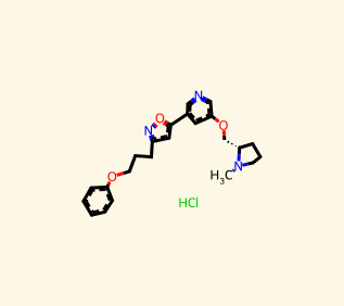 CN1CCC[C@H]1COc1cncc(-c2cc(CCCOc3ccccc3)no2)c1.Cl